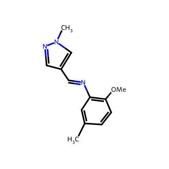 COc1ccc(C)cc1N=Cc1cnn(C)c1